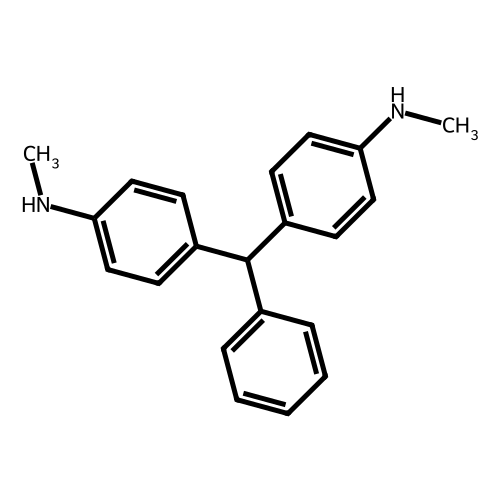 CNc1ccc(C(c2ccccc2)c2ccc(NC)cc2)cc1